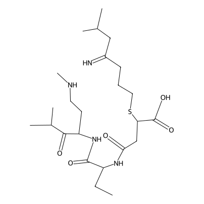 CCC(NC(=O)CC(SCCCC(=N)CC(C)C)C(=O)O)C(=O)NC(CCNC)C(=O)C(C)C